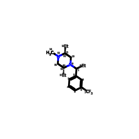 CCC(c1cccc(C(F)(F)F)c1)N1C[C@H](CC)N(C)C[C@H]1CC